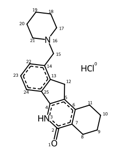 Cl.O=c1[nH]c2c(c3c1CCCC3)Cc1c(CN3CCCCC3)cccc1-2